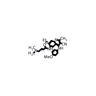 CCOc1cc2nc(C)c(C#N)c(Nc3ccc(OC)cc3)c2cc1NC(=O)/C=C/CN(C)C